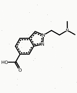 CN(C)CCn1cc2ccc(C(=O)O)cc2n1